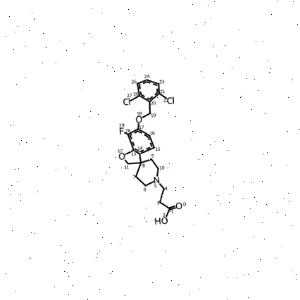 O=C(O)CCN1CCC2(CC1)COc1c2ccc(OCc2c(Cl)cccc2Cl)c1F